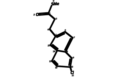 CSC(=O)CCc1ccc2cc(Cl)ccc2c1